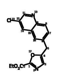 CCOC(=O)c1ncc(Cc2ccc3ncc(Cl)cc3c2)o1